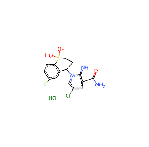 Cl.N=c1c(C(N)=O)cc(Cl)cn1C1CCS(O)(O)c2ccc(F)cc21